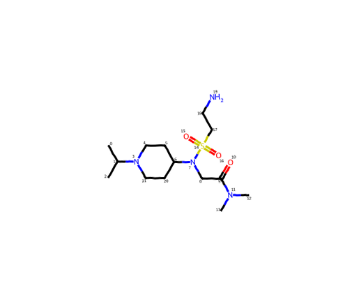 CC(C)N1CCC(N(CC(=O)N(C)C)S(=O)(=O)CCN)CC1